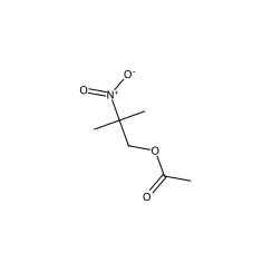 CC(=O)OCC(C)(C)[N+](=O)[O-]